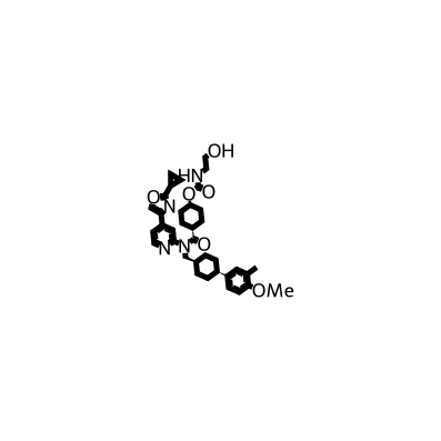 COc1ccc([C@H]2CC[C@H](CN(c3cc(-c4coc(C5CC5)n4)ccn3)C(=O)[C@H]3CC[C@H](OC(=O)NCCO)CC3)CC2)cc1C